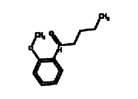 CCCC[PH](=O)c1ccccc1OC